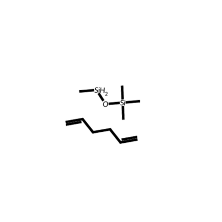 C=CCCC=C.C[SiH2]O[Si](C)(C)C